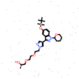 C[C@@H](O)COCCOCCn1cc(-c2nn(C3CCCCO3)c3ccc(O[Si](C)(C)C(C)(C)C)cc23)cn1